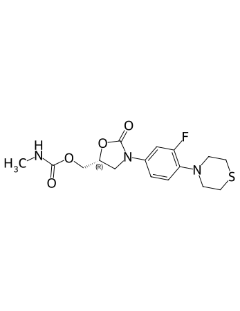 CNC(=O)OC[C@H]1CN(c2ccc(N3CCSCC3)c(F)c2)C(=O)O1